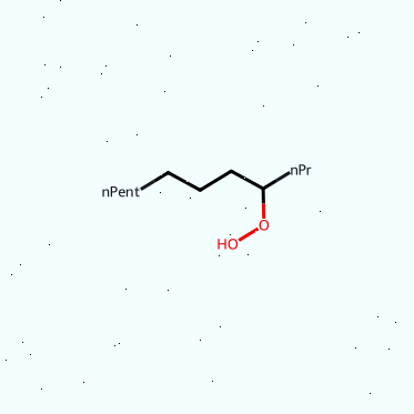 [CH2]CCC(CCCCCCCC)OO